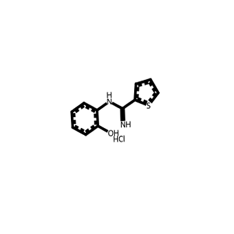 Cl.N=C(Nc1ccccc1O)c1cccs1